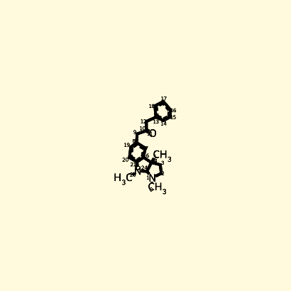 CN1CCC2(C)c3cc(CC(=O)Cc4ccccc4)ccc3N(C)C12